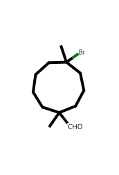 CC1(Br)CCCCC(C)(C=O)CCC1